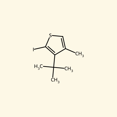 Cc1csc(I)c1C(C)(C)C